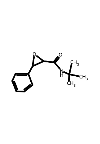 CC(C)(C)NC(=O)C1OC1c1ccccc1